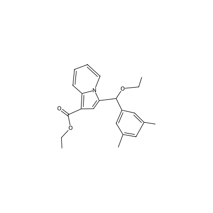 CCOC(=O)c1cc(C(OCC)c2cc(C)cc(C)c2)n2ccccc12